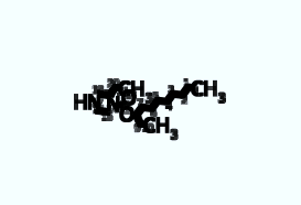 CCCCCCCCC(CC)OC(=O)N1CCNCC1CC